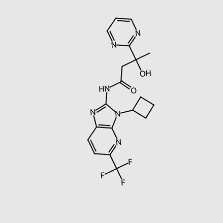 CC(O)(CC(=O)Nc1nc2ccc(C(F)(F)F)nc2n1C1CCC1)c1ncccn1